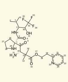 CC(C)C(NC(=O)[C@@]1(C(=O)[C@@H](N)C(C)(C)C(=O)OCCc2ccccn2)CCCN1)C(O)C(F)(F)F